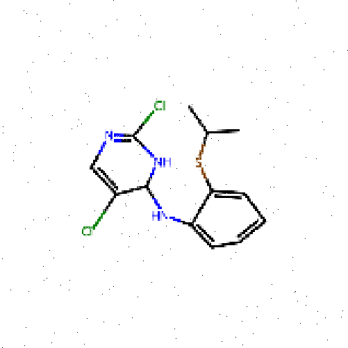 CC(C)Sc1ccccc1NC1NC(Cl)=NC=C1Cl